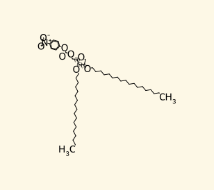 CCCCCCCCCCCCCCCCCCO[C@H]1[C@@H](OCCCCCCCCCCCCCCCCCC)CO[C@@H]1COC(=O)Oc1ccc([N+](=O)[O-])cc1